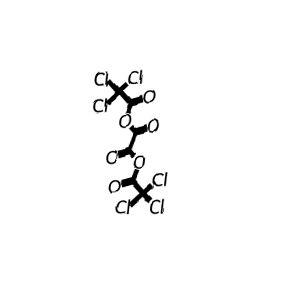 O=C(OC(=O)C(Cl)(Cl)Cl)C(=O)OC(=O)C(Cl)(Cl)Cl